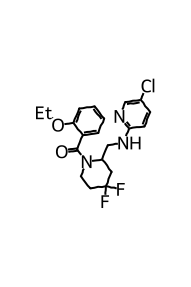 CCOc1ccccc1C(=O)N1CCC(F)(F)CC1CNc1ccc(Cl)cn1